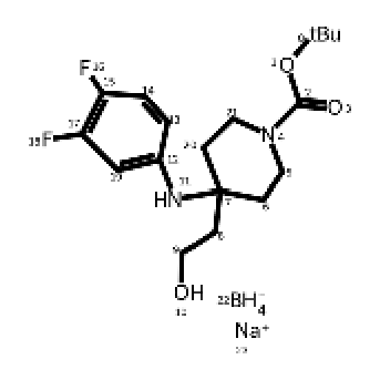 CC(C)(C)OC(=O)N1CCC(CCO)(Nc2ccc(F)c(F)c2)CC1.[BH4-].[Na+]